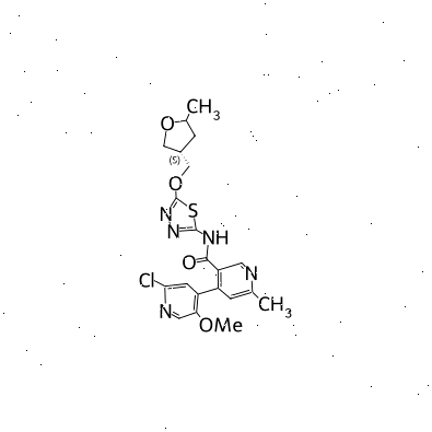 COc1cnc(Cl)cc1-c1cc(C)ncc1C(=O)Nc1nnc(OC[C@@H]2COC(C)C2)s1